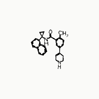 Cc1ccc(C2=CCNCC2)cc1C(=O)NC1(c2cccc3ccccc23)CC1